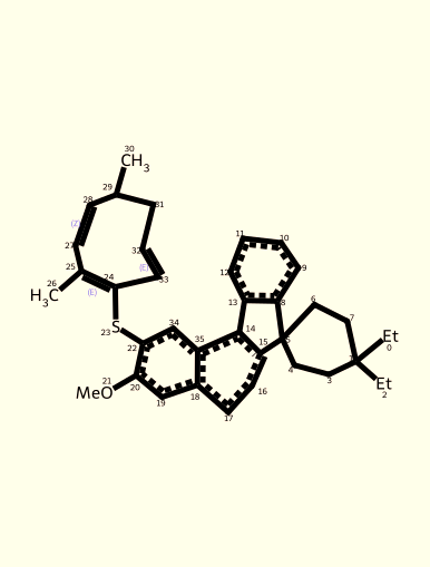 CCC1(CC)CCC2(CC1)c1ccccc1-c1c2ccc2cc(OC)c(SC3=C(C)/C=C\C(C)C\C=C\3)cc12